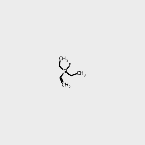 C=C[Si](F)(CC)CC